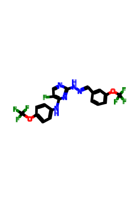 Fc1cnc(N/N=C/c2cccc(OC(F)(F)F)c2)nc1Nc1ccc(OC(F)(F)F)cc1